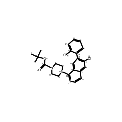 CC(C)(C)OC(=O)N1CCN(c2nccc3cc(Cl)c(-c4ccccc4Cl)cc23)CC1